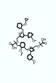 CCOc1c(Cn2nc(COC(C)(C)C(=O)O)cc2-c2cccc(OC)c2)cccc1CC(C)(OCc1cc(-c2cccc(OC)c2)n(Cc2ccccc2OC2CC2)n1)C(=O)O